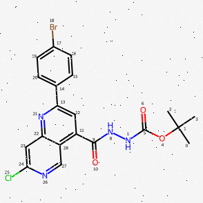 CC(C)(C)OC(=O)NNC(=O)c1cc(-c2ccc(Br)cc2)nc2cc(Cl)ncc12